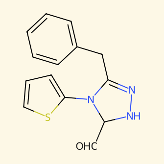 O=CC1NN=C(Cc2ccccc2)N1c1cccs1